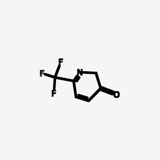 O=C1C=CC(C(F)(F)F)=NC1